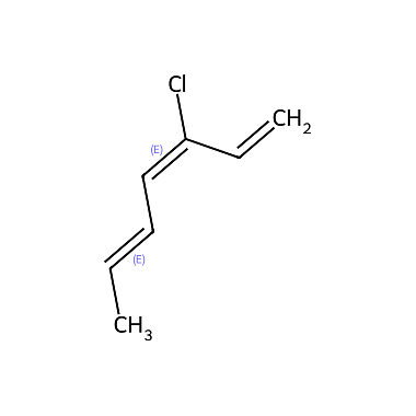 C=C/C(Cl)=C\C=C\C